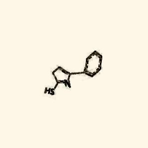 SC1=NC(c2ccccc2)=CC1